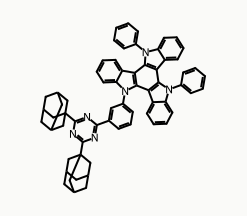 c1ccc(-n2c3ccccc3c3c2c2c4ccccc4n(-c4cccc(-c5nc(C67CC8CC(CC(C8)C6)C7)nc(C67CC8CC(CC(C8)C6)C7)n5)c4)c2c2c4ccccc4n(-c4ccccc4)c32)cc1